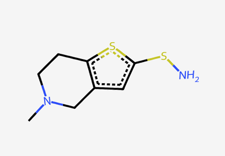 CN1CCc2sc(SN)cc2C1